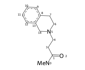 CNC(=O)CCN1CCc2cc[c]cc2C1